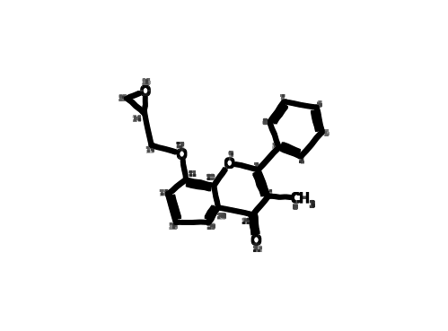 Cc1c(-c2ccccc2)oc2c(OCC3CO3)cccc2c1=O